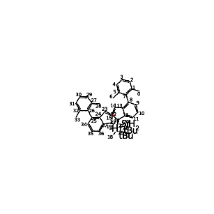 Cc1cccc(C)c1-c1cccc2c1C=C[CH]2[Hf]([CH3])([CH3])(=[SiH2])([CH]1C=Cc2c(-c3c(C)cccc3C)cccc21)([C](C)(C)C)[C](C)(C)C